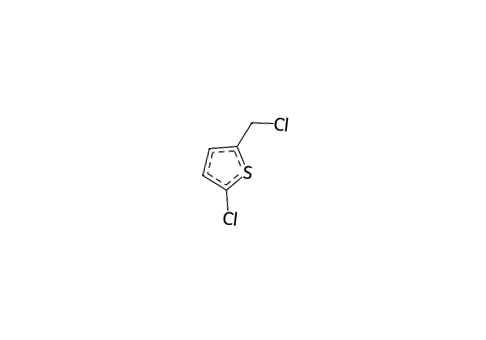 ClCc1ccc(Cl)s1